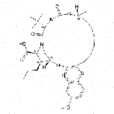 CCC[C@@H]1[C@@H]2CN(C(=O)[C@H](C(C)(C)C)NC(=O)O[C@@H]3CC3CCCCCc3nc4ccc(OC)cc4nc3O2)[C@@H]1C(=O)O